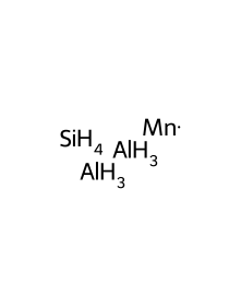 [AlH3].[AlH3].[Mn].[SiH4]